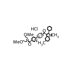 COCCN(CCOC)C(=O)c1ccc(N2CCN(C(=O)c3c(-c4ccccc4)n(C)c4ccc(C)cc34)CC2)nc1.Cl